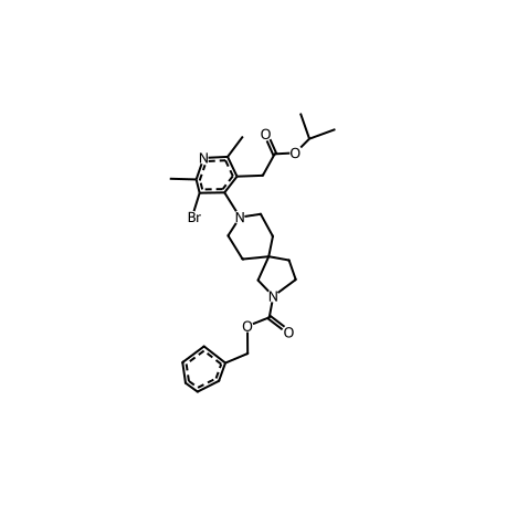 Cc1nc(C)c(CC(=O)OC(C)C)c(N2CCC3(CCN(C(=O)OCc4ccccc4)C3)CC2)c1Br